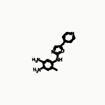 Cc1cc(N)c(N)cc1Nc1ncc(-c2ccncc2)o1